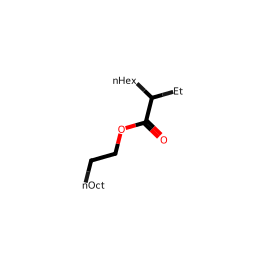 CCCCCCCCCCOC(=O)C(CC)CCCCCC